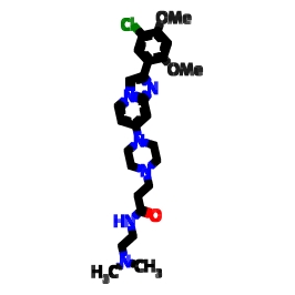 COc1cc(OC)c(-c2cn3ccc(N4CCN(CCC(=O)NCCN(C)C)CC4)cc3n2)cc1Cl